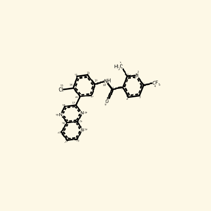 Cc1nc(C(F)(F)F)ccc1C(=O)Nc1ccc(Cl)c(-c2cnc3cccnc3n2)c1